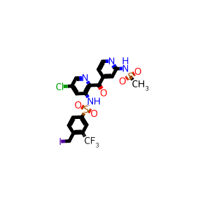 CS(=O)(=O)Nc1cc(C(=O)c2ncc(Cl)cc2NS(=O)(=O)c2ccc(CI)c(C(F)(F)F)c2)ccn1